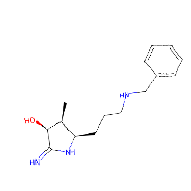 C[C@@H]1[C@H](O)C(=N)N[C@@H]1CCCNCc1ccccc1